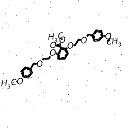 COC(=O)c1c(OCCOCc2ccc(OC)cc2)cccc1OCCOCc1ccc(OC)cc1